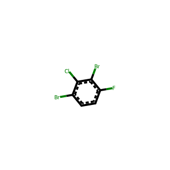 Fc1ccc(Br)c(Cl)c1Br